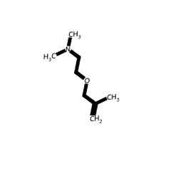 C=C(C)COCCN(C)C